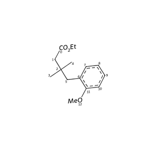 CCOC(=O)CC(C)(C)Cc1ccccc1OC